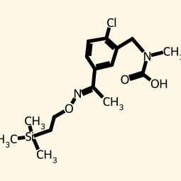 C/C(=N\OCC[Si](C)(C)C)c1ccc(Cl)c(CN(C)C(=O)O)c1